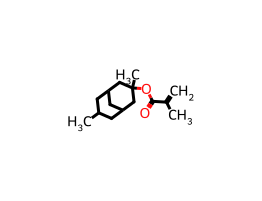 C=C(C)C(=O)OC1(C)CC2CC(C)CC(C2)C1